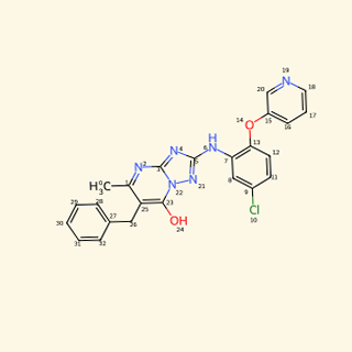 Cc1nc2nc(Nc3cc(Cl)ccc3Oc3cccnc3)nn2c(O)c1Cc1ccccc1